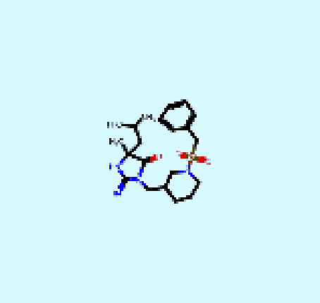 CC(C)CC1(C)NC(=N)N(CC2CCCN(S(=O)(=O)Cc3ccccc3)C2)C1=O